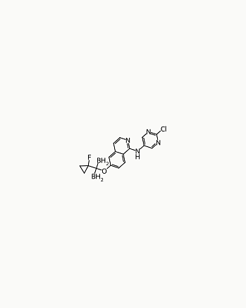 BC(B)(Oc1ccc2c(Nc3cnc(Cl)nc3)nccc2c1)C1(F)CC1